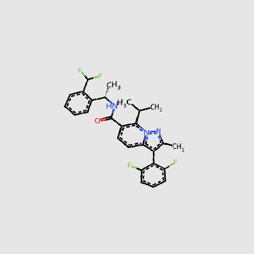 Cc1nn2c(C(C)C)c(C(=O)N[C@@H](C)c3ccccc3C(F)F)ccc2c1-c1c(F)cccc1F